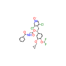 O=C(CNC(=O)c1ccccc1)O[C@@H](Cc1c(Cl)c[n+]([O-])cc1Cl)c1ccc(OC(F)F)c(OCC2CC2)c1